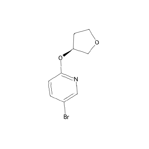 Brc1ccc(O[C@H]2CCOC2)nc1